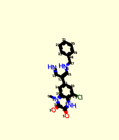 Cn1c(=O)c(=O)[nH]c2c(Cl)cc(/C(C=N)=C/NCc3ccccc3)cc21